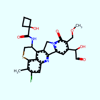 COCc1c(C(O)C=O)cc2n(c1=O)Cc1c-2nc2cc(F)c(C)c3c2c1C(NC(=O)C1(O)CCC1)CS3